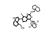 N#CCc1cccc2[nH]cc(-c3ccc4c(N5C[C@H]6CC[C@@H](C5)N6)nc(OCC56CCCN5CCC6)nc4c3F)c12